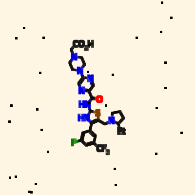 CCC1CCCN1CC1=C(c2cc(F)cc(C(F)(F)F)c2)NC(NC(=O)c2cnc(N3CCN(CC(=O)O)CC3)cn2)S1